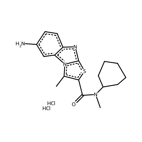 Cc1c(C(=O)N(C)C2CCCCC2)sc2nc3ccc(N)cc3n12.Cl.Cl